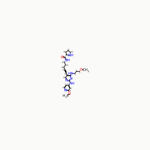 COCCCNc1nc(Nc2ccnc(OC)c2)ncc1C#CCCCNC(=O)[C@@H]1CCCN1